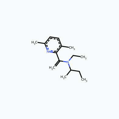 C=C(c1nc(C)ccc1C)N(CC)C(C)CC